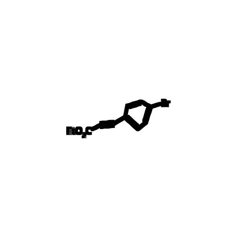 CCOC(=O)C#Cc1ccc(Br)cc1